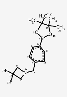 CC1(C)OB(c2ccc(CN3CC(F)(F)C3)cc2)OC1(C)C